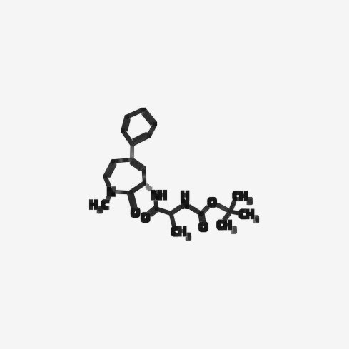 CC(NC(=O)OC(C)(C)C)C(=O)N[C@H]1C=C(c2ccccc2)C=CN(C)C1=O